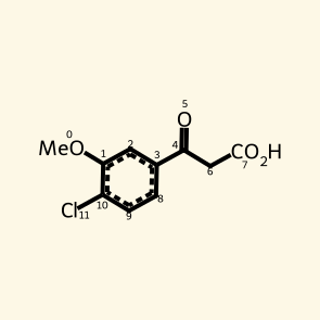 COc1cc(C(=O)CC(=O)O)ccc1Cl